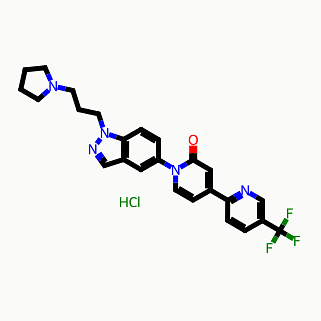 Cl.O=c1cc(-c2ccc(C(F)(F)F)cn2)ccn1-c1ccc2c(cnn2CCCN2CCCC2)c1